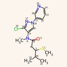 CSC(CC(=O)N(C)c1cn(-c2cccnc2)nc1Cl)C(C)C